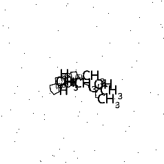 CCC(C=CC=C(C)[C@H]1CC[C@H]2[C@@H]3CCC4CCCC[C@]4(C)[C@H]3CC[C@]12C)=C(C)O